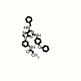 C=CC(=O)Nc1cccc(-n2cnc3c(NCc4ccccc4)nc(Nc4ccc(Oc5ccccc5)cc4)nc32)c1